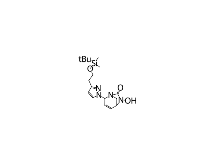 CC(C)(C)[Si](C)(C)OCCc1ccn(C2C=CC3CN2C(=O)N3O)n1